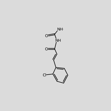 [NH]C(=O)NC(=O)/C=C/c1ccccc1Cl